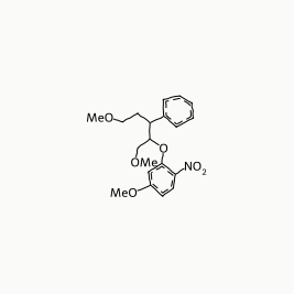 COCCC(c1ccccc1)C(COC)Oc1cc(OC)ccc1[N+](=O)[O-]